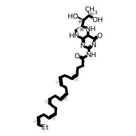 CC/C=C\C/C=C\C/C=C\C/C=C\C/C=C\C/C=C\CCC(=O)NC1=NC(=O)C2N[C@@H]([C@@H](O)[C@H](C)O)CNC2=N1